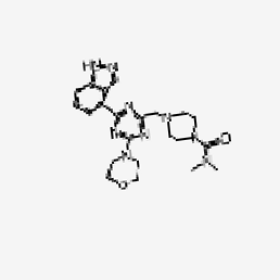 CN(C)C(=O)N1CCN(Cc2nc(-c3cccc4[nH]ncc34)nc(N3CCOCC3)n2)CC1